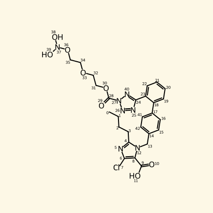 CCCCc1nc(Cl)c(C(=O)O)n1Cc1ccc(-c2ccccc2-c2nnn(C(=O)OCCOCCON(O)O)n2)cc1